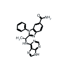 C[C@H](Nc1ncnc2[nH]cnc12)c1nc2ccc(C(N)=O)cc2n1-c1ccccc1